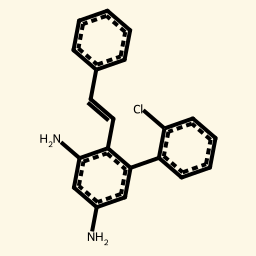 Nc1cc(N)c(C=Cc2ccccc2)c(-c2ccccc2Cl)c1